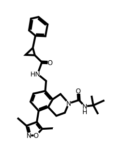 Cc1noc(C)c1-c1ccc(CNC(=O)C2CC2c2ccccc2)c2c1CCN(C(=O)NC(C)(C)C)C2